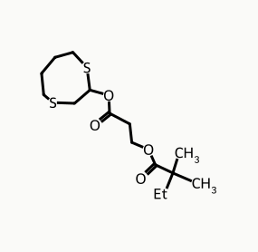 CCC(C)(C)C(=O)OCCC(=O)OC1CSCCCCS1